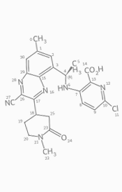 Cc1cc([C@@H](C)Nc2ccc(Cl)nc2C(=O)O)c2nc(C3CCN(C)C(=O)C3)c(C#N)nc2c1